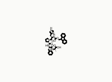 C[C@H](NC(=O)[C@H](Cc1ccccc1)NC(=O)[C@@H]1CCCN1C(=O)[C@@H](Cc1c[nH]cn1)NC(=O)OCC1c2ccccc2-c2ccccc21)C(=O)O